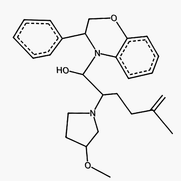 C=C(C)CCC(C(O)N1c2ccccc2OCC1c1ccccc1)N1CCC(OC)C1